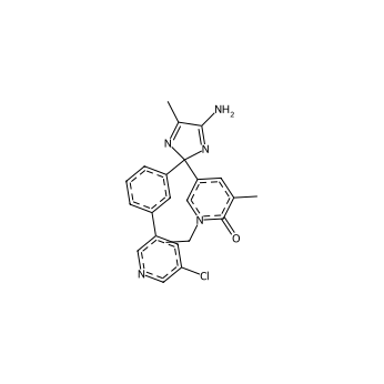 CCn1cc(C2(c3cccc(-c4cncc(Cl)c4)c3)N=C(C)C(N)=N2)cc(C)c1=O